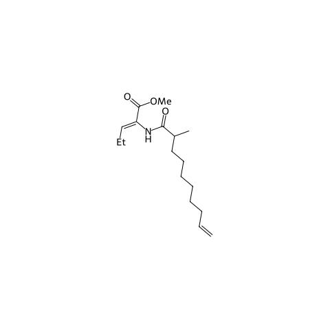 C=CCCCCCCC(C)C(=O)NC(=CCC)C(=O)OC